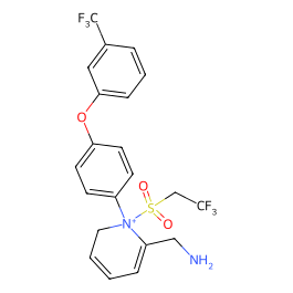 NCC1=CC=CC[N+]1(c1ccc(Oc2cccc(C(F)(F)F)c2)cc1)S(=O)(=O)CC(F)(F)F